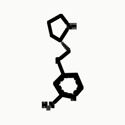 Nc1cc(SC[C@@H]2CCCN2)ccn1